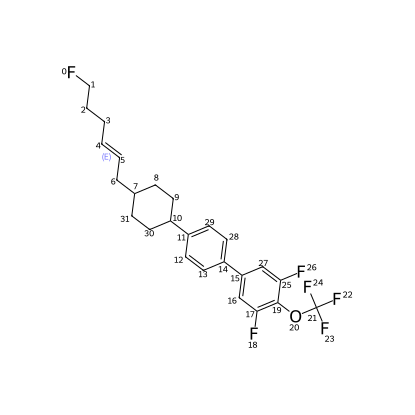 FCCC/C=C/CC1CCC(c2ccc(-c3cc(F)c(OC(F)(F)F)c(F)c3)cc2)CC1